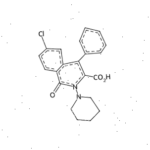 O=C(O)c1c(-c2ccccc2)c2cc(Cl)ccc2c(=O)n1N1CCCCC1